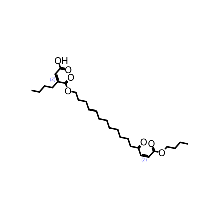 CCCCOC(=O)/C=C\C(=O)CCCCCCCCCCCCOC(=O)/C(=C\C(=O)O)CCCC